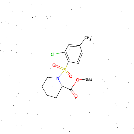 CC(C)(C)OC(=O)C1CCCCN1S(=O)(=O)c1ccc(C(F)(F)F)cc1Cl